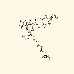 CCCCCCCCN(C)C1=NC(C)(C)NC(NCc2ccc(C)cc2)=N1